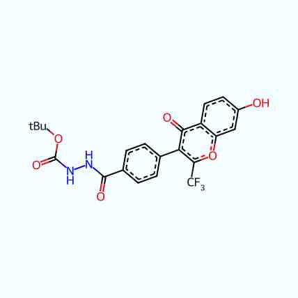 CC(C)(C)OC(=O)NNC(=O)c1ccc(-c2c(C(F)(F)F)oc3cc(O)ccc3c2=O)cc1